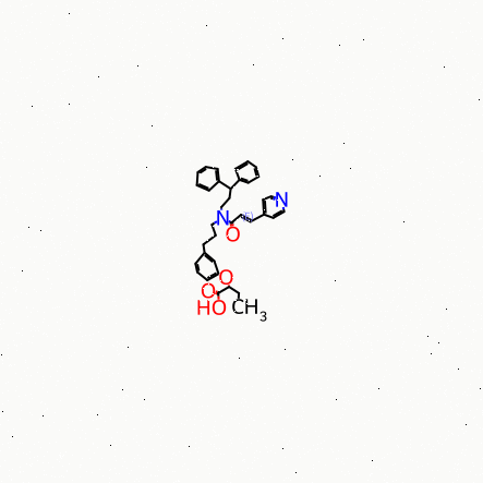 CCC(Oc1cccc(CCCN(CCC(c2ccccc2)c2ccccc2)C(=O)/C=C/c2ccncc2)c1)C(=O)O